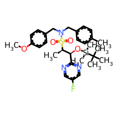 COc1ccc(CN(Cc2ccc(C)cc2)S(=O)(=O)[C@H](C)[C@@H](O[Si](C)(C)C(C)(C)C)c2ncc(F)cn2)cc1